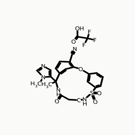 Cn1cncc1C1(C)NC(=O)CCNS(=O)(=O)c2cccc(c2)Oc2cc1ccc2C#N.O=C(O)C(F)(F)F